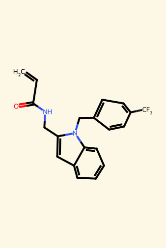 C=CC(=O)NCc1cc2ccccc2n1Cc1ccc(C(F)(F)F)cc1